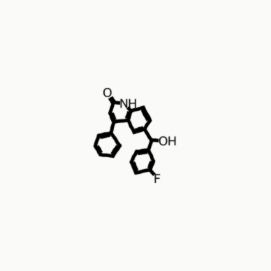 O=c1cc(-c2ccccc2)c2cc(C(O)c3cccc(F)c3)ccc2[nH]1